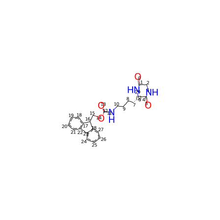 O=C1CNC(=O)[C@H](CCCCNC(=O)OCC2c3ccccc3-c3ccccc32)N1